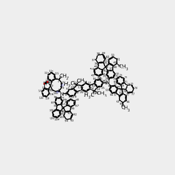 C=C1/C=C\C(N(c2ccc3c(c2)C(C)(C)c2cc4c(cc2-3)C(C)(C)c2cc(N(c3ccc5c(c3)C3(C6=C(CCC=C6)c6ccccc63)C3=C5C(C)CC=C3)c3ccc5c(c3)C3(C6=C5CC(C)C=C6)c5ccccc5C5C=CC=CC53)ccc2-4)c2ccc3c(c2)C2(C4=C(C=CCC4)c4ccccc42)c2ccccc2-3)=C/CC2(c3ccccc31)c1ccccc1-c1ccccc12